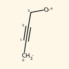 [CH2]C#CC[O]